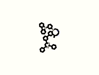 C=C1/C=C\C=C/CN(c2cccc(-n3c4ccccc4c4ccccc43)c2)c2ccc(-c3cccc(-c4cc(-c5ccccc5)nc(-c5ccccc5)n4)c3)cc21